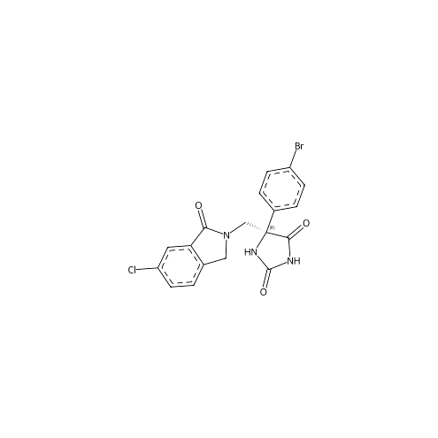 O=C1NC(=O)[C@](CN2Cc3ccc(Cl)cc3C2=O)(c2ccc(Br)cc2)N1